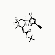 C#Cc1cc(Cl)c([C@]2(C)CS(=O)(=O)N(C)/C(=N/C(=O)OC(C)(C)C)N2)s1